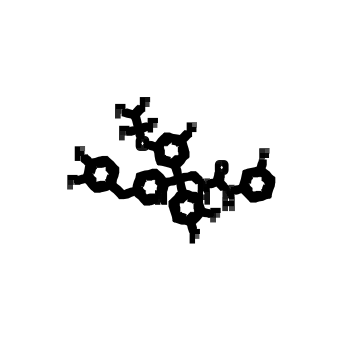 O=C(NCC(c1cc(F)cc(OC(F)(F)C(F)F)c1)(c1ccc(F)c(F)c1)c1ccc(Cc2ccc(F)c(F)c2)cn1)Nc1cccc(F)c1